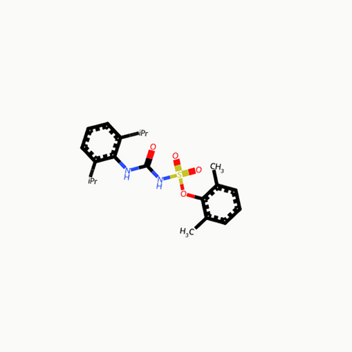 Cc1cccc(C)c1OS(=O)(=O)NC(=O)Nc1c(C(C)C)cccc1C(C)C